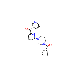 O=C(c1cccnc1)c1cccc(N2CCCN(C(=O)C3CCCCC3)CC2)n1